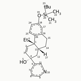 CC[C@]12C=C[C@](O)(c3cccnc3)C[C@H]1CCc1cc(O[Si](C)(C)C(C)(C)C)ccc12